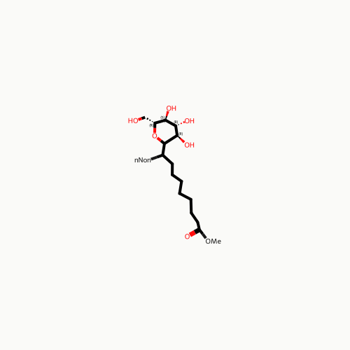 CCCCCCCCCC(CCCCCCCC(=O)OC)C1O[C@H](CO)[C@@H](O)[C@H](O)[C@H]1O